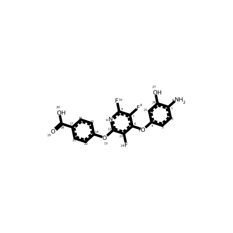 Nc1ccc(Oc2c(F)c(F)nc(Oc3ccc(C(=O)O)cc3)c2F)cc1O